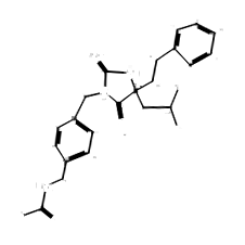 CC(=O)NCc1ccc(CN2C(=N)NC(CCc3ccccc3)(CC(C)C)C2=O)cc1